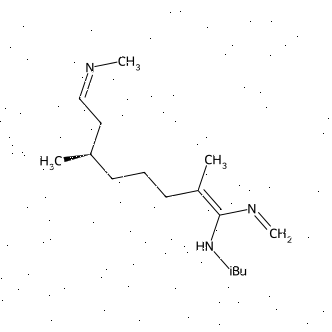 C=N/C(NC(C)CC)=C(\C)CCC[C@@H](C)C/C=N\C